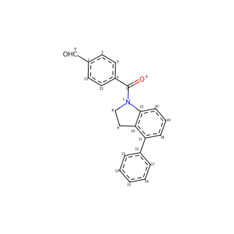 O=Cc1ccc(C(=O)N2CCc3c(-c4ccccc4)cccc32)cc1